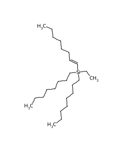 CCCCCCC=C[Si](CC)(CCCCCCCC)CCCCCCCC